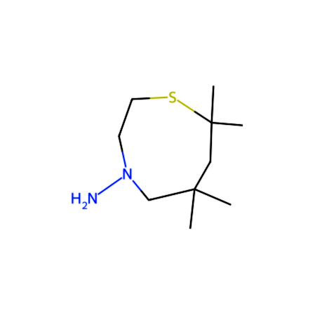 CC1(C)CN(N)CCSC(C)(C)C1